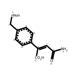 CCCCCCCCCCc1ccc(/C(=C/C(N)=O)C(=O)O)cc1